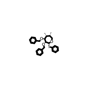 C[C@H]1[C@H](OCc2ccccc2)[C@H](OCc2ccccc2)[C@@H](Sc2ccccc2)OC[C@H]1C